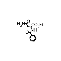 CCOC(=O)[C@H](CC(N)=O)NC(=O)c1ccccc1